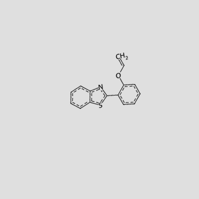 C=COc1ccccc1-c1nc2ccccc2s1